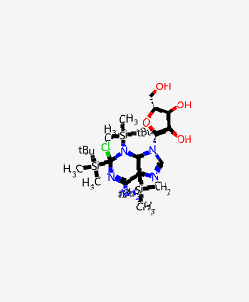 CC(C)(C)[Si](C)(C)N1C2N([C@@H]3O[C@H](CO)C(O)C3O)C=NC2([Si](C)(C)C(C)(C)C)C(N)=NC1(Cl)[Si](C)(C)C(C)(C)C